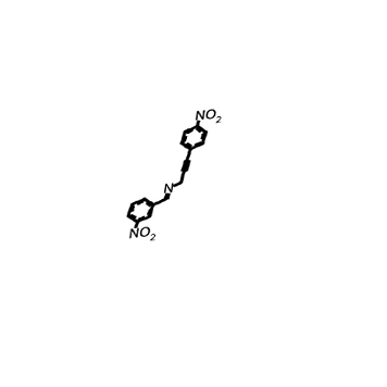 O=[N+]([O-])c1ccc(C#CC/N=C/c2cccc([N+](=O)[O-])c2)cc1